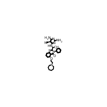 CC(Nc1nc(N)nc(N)c1C#N)c1nc2cccc(OCCN3CCCCCC3)c2c(=O)n1-c1ccccc1